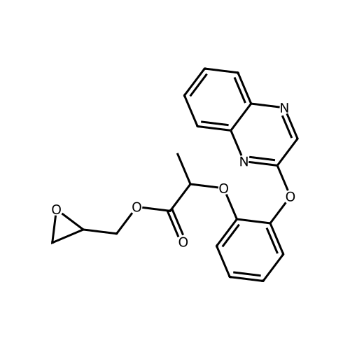 CC(Oc1ccccc1Oc1cnc2ccccc2n1)C(=O)OCC1CO1